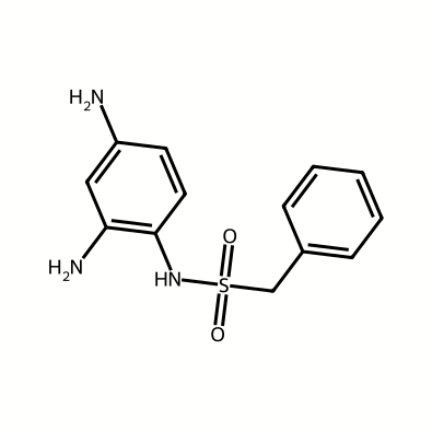 Nc1ccc(NS(=O)(=O)Cc2ccccc2)c(N)c1